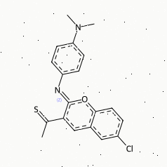 CC(=S)c1cc2cc(Cl)ccc2o/c1=N\c1ccc(N(C)C)cc1